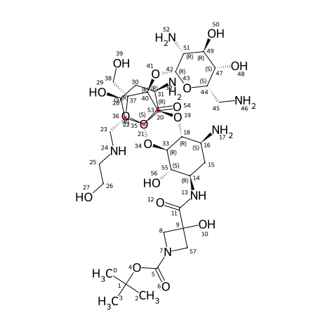 CC(C)(C)OC(=O)N1CC(O)(C(=O)N[C@@H]2C[C@H](N)[C@@H](O[C@H]3O[C@H](CNCCO)[C@@H](O)C[C@H]3N)[C@H](O[C@@H]3O[C@H](CO)[C@@H](O[C@H]4O[C@@H](CN)[C@@H](O)[C@H](O)[C@H]4N)C3=O)[C@H]2O)C1